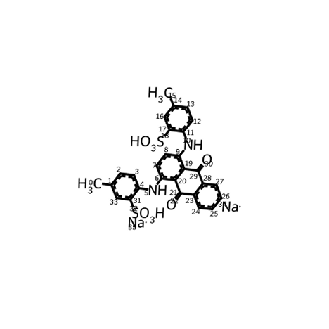 Cc1ccc(Nc2ccc(Nc3ccc(C)cc3S(=O)(=O)O)c3c2C(=O)c2ccccc2C3=O)c(S(=O)(=O)O)c1.[Na].[Na]